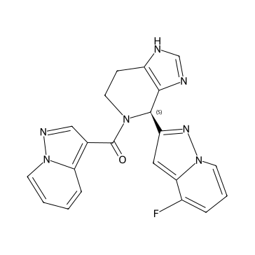 O=C(c1cnn2ccccc12)N1CCc2[nH]cnc2[C@H]1c1cc2c(F)cccn2n1